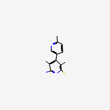 CC(=O)Nc1ccc(-c2c(C#N)c(N)nc(S)c2C#N)cn1